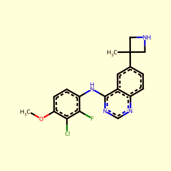 COc1ccc(Nc2ncnc3ccc(C4(C)CNC4)cc23)c(F)c1Cl